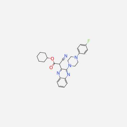 N#CC(C(=O)OC1CCCCC1)c1nc2ccccc2nc1N1CCN(c2ccc(F)cc2)CC1